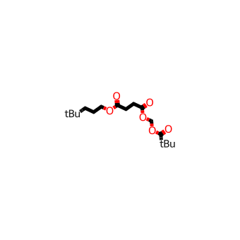 CC(C)(C)CCCOC(=O)CCC(=O)OCOC(=O)C(C)(C)C